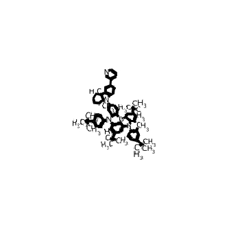 Cc1cc(C(C)(C)C)ccc1N1c2ccc(C(C)(C)C)cc2B2c3ccc(N4c5ccc(-c6cccnc6)cc5C5(C)CCCCC45C)cc3N(c3ccc(C(C)(C)C)cc3)c3cc(C(C)(C)C)cc1c32